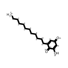 CCCCCCCCCCCCC1=CC(=O)C=C(O)C1=O